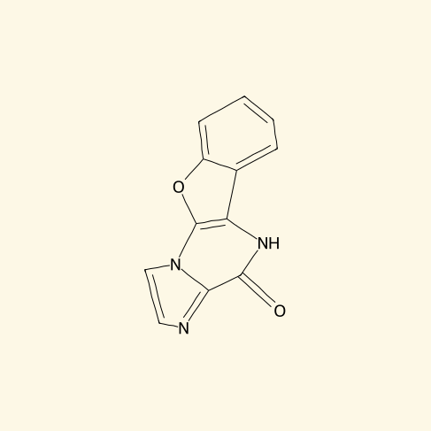 O=c1[nH]c2c3ccccc3oc2n2ccnc12